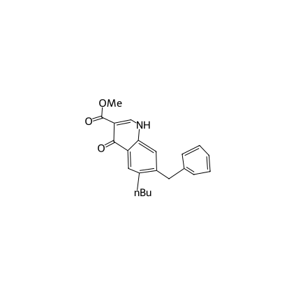 CCCCc1cc2c(=O)c(C(=O)OC)c[nH]c2cc1Cc1ccccc1